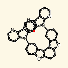 c1cnc2c(c1)c1ncccc1n2-c1ccc2oc3ccc4oc5ccc(-n6c7cccnc7c7cccnc76)cc5c4c3c2c1